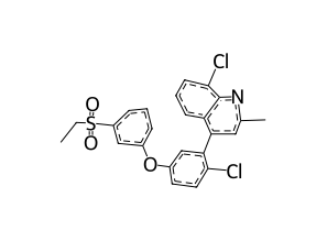 CCS(=O)(=O)c1cccc(Oc2ccc(Cl)c(-c3cc(C)nc4c(Cl)cccc34)c2)c1